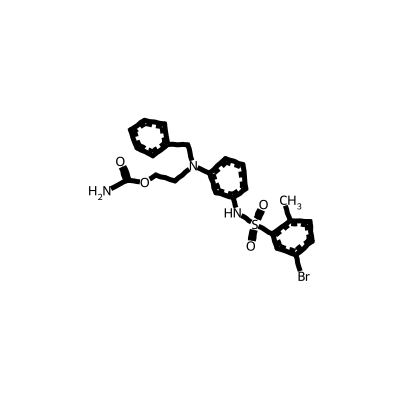 Cc1ccc(Br)cc1S(=O)(=O)Nc1cccc(N(CCOC(N)=O)Cc2ccccc2)c1